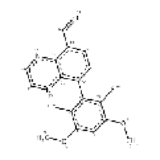 COc1cc(OC)c(F)c(-c2ccc(C=O)c3nccnc23)c1F